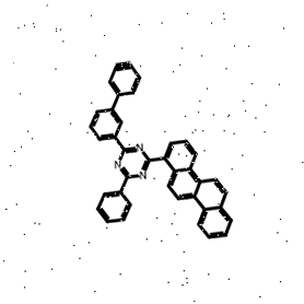 c1ccc(-c2cccc(-c3nc(-c4ccccc4)nc(-c4cccc5c4ccc4c6ccccc6ccc54)n3)c2)cc#1